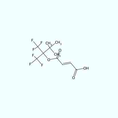 CC(C)(C)C(OC(=O)C=CC(=O)O)(C(F)(F)F)C(F)(F)F